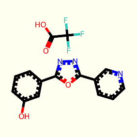 O=C(O)C(F)(F)F.Oc1cccc(-c2nnc(-c3cccnc3)o2)c1